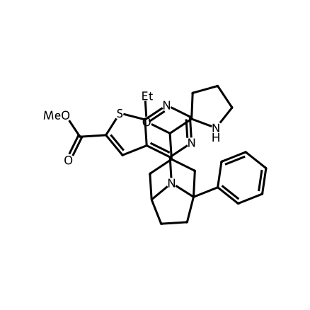 CCOC(C1CC2CCC(c3ccccc3)(C1)N2c1ncnc2sc(C(=O)OC)cc12)C1CCCN1